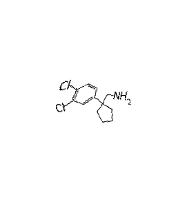 NCC1(c2ccc(Cl)c(Cl)c2)CCCC1